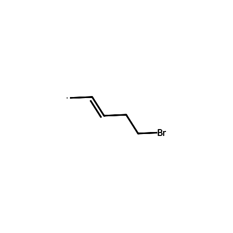 [CH2]C=CCCBr